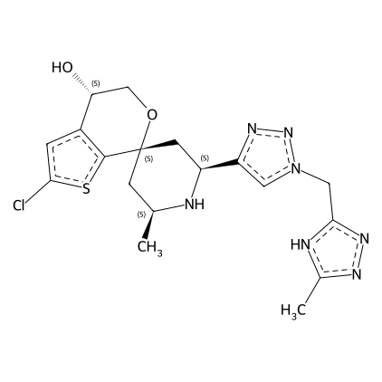 Cc1nnc(Cn2cc([C@@H]3C[C@]4(C[C@H](C)N3)OC[C@@H](O)c3cc(Cl)sc34)nn2)[nH]1